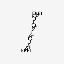 CCN(C=C(F)C=Cc1cc[n+](CCCC[n+]2ccc(C=CC(F)=CN(CC)CC)cc2)cc1)CC